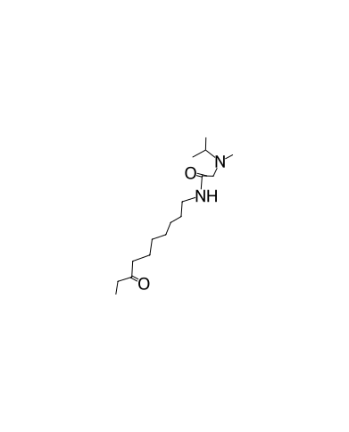 CCC(=O)CCCCCCCNC(=O)CN(C)C(C)C